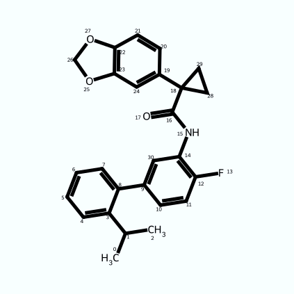 CC(C)c1ccccc1-c1ccc(F)c(NC(=O)C2(c3ccc4c(c3)OCO4)CC2)c1